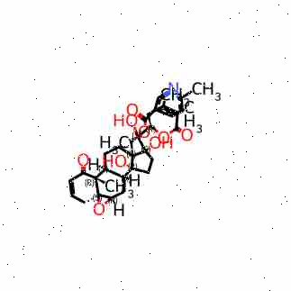 CC1=C(C)C(=O)O[C@@H]([C@](C)(O)[C@]2(O)CC[C@@]3(O)[C@@H]4C[C@H]5O[C@]56CC=CC(=O)[C@]6(C)[C@H]4CC[C@]23COC(=O)c2ccc(C)nc2)C1